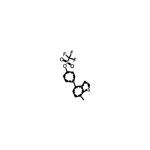 Cc1ccc(-c2ccc(OS(=O)(=O)C(F)(F)F)cc2)c2ccsc12